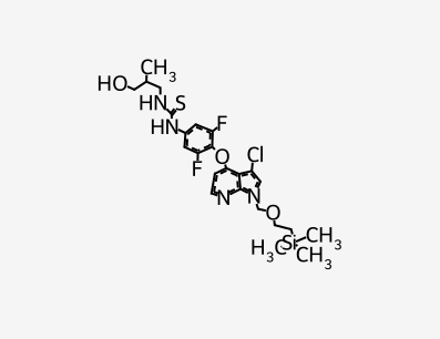 CC(CO)CNC(=S)Nc1cc(F)c(Oc2ccnc3c2c(Cl)cn3COCC[Si](C)(C)C)c(F)c1